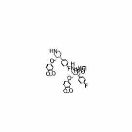 Cl.Cl.Fc1ccc([C@@H]2CCNC[C@H]2COc2ccc3c(c2)OCO3)cc1.Fc1ccc([C@@H]2CCNC[C@H]2COc2ccc3c(c2)OCO3)cc1.O